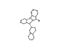 Brc1c2ccccc2n2c3ccccc3n(-c3ccc4ccccc4c3)c12